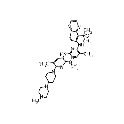 COc1nc(N2CCC(N3CCN(C)CC3)CC2)c(C)cc1Nc1ncc(C)c(Nc2ccc3nccnc3c2P(C)(C)=O)n1